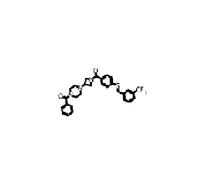 O=C(c1ccccc1)N1CCN(C2CN(C(=O)c3ccc(SCc4cccc(C(F)(F)F)c4)cc3)C2)CC1